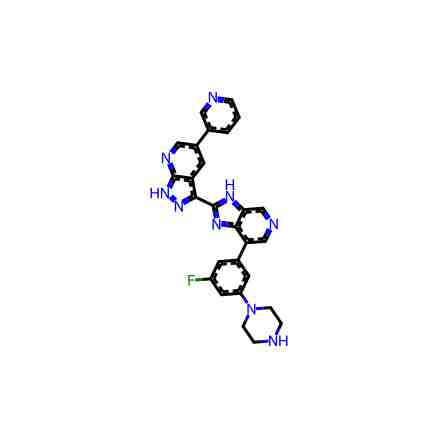 Fc1cc(-c2cncc3[nH]c(-c4n[nH]c5ncc(-c6cccnc6)cc45)nc23)cc(N2CCNCC2)c1